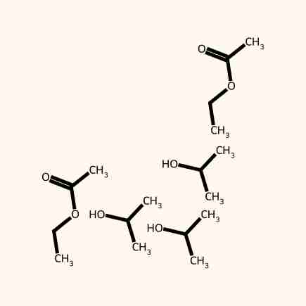 CC(C)O.CC(C)O.CC(C)O.CCOC(C)=O.CCOC(C)=O